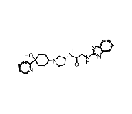 O=C(CNc1nc2ccccc2s1)N[C@@H]1CCN(C2CCC(O)(c3ccccn3)CC2)C1